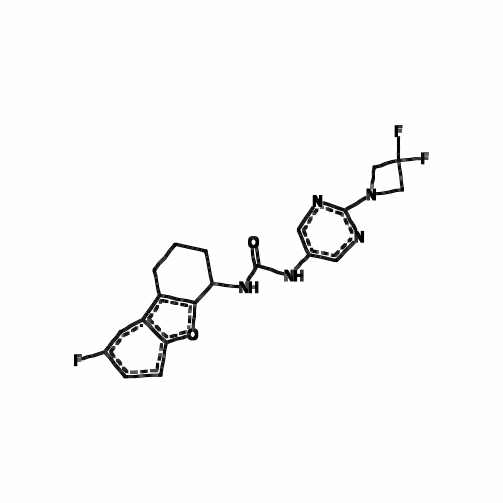 O=C(Nc1cnc(N2CC(F)(F)C2)nc1)NC1CCCc2c1oc1ccc(F)cc21